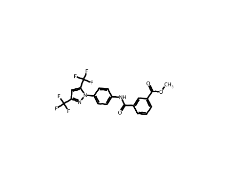 COC(=O)c1cccc(C(=O)Nc2ccc(-n3nc(C(F)(F)F)cc3C(F)(F)F)cc2)c1